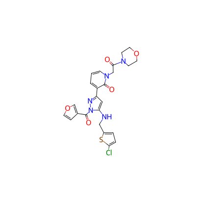 O=C(Cn1cccc(-c2cc(NCc3ccc(Cl)s3)n(C(=O)c3ccoc3)n2)c1=O)N1CCOCC1